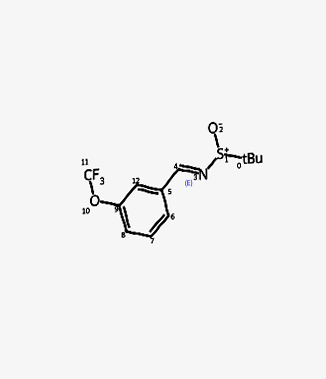 CC(C)(C)[S+]([O-])/N=C/c1cccc(OC(F)(F)F)c1